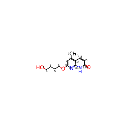 Cc1cc(OCCCCO)nc2[nH]c(=O)ccc12